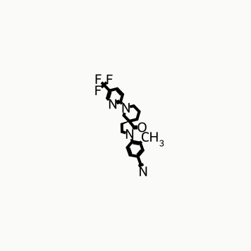 Cc1cc(C#N)ccc1N1CC[C@@]2(CCCN(c3ccc(C(F)(F)F)cn3)C2)C1=O